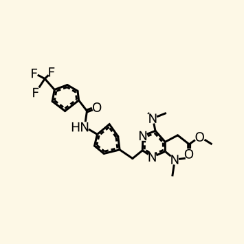 COC(=O)Cc1c(N(C)C)nc(Cc2ccc(NC(=O)c3ccc(C(F)(F)F)cc3)cc2)nc1N(C)C